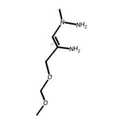 COCOC/C(N)=C/N(C)N